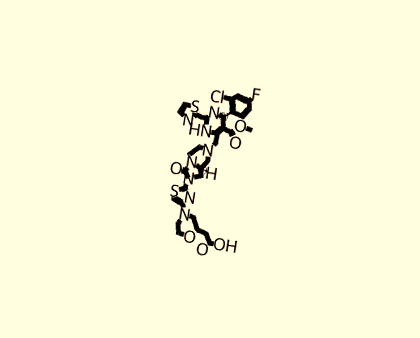 COC(=O)C1=C(CN2CCN3C(=O)N(c4nc(N5CCOC(CC(=O)O)C5)cs4)C[C@@H]3C2)NC(c2nccs2)=N[C@H]1c1ccc(F)cc1Cl